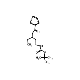 CCC(CCNC(=O)OC(C)(C)C)CC(=O)c1ccccc1